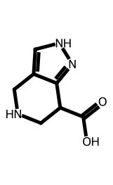 O=C(O)C1CNCc2c[nH]nc21